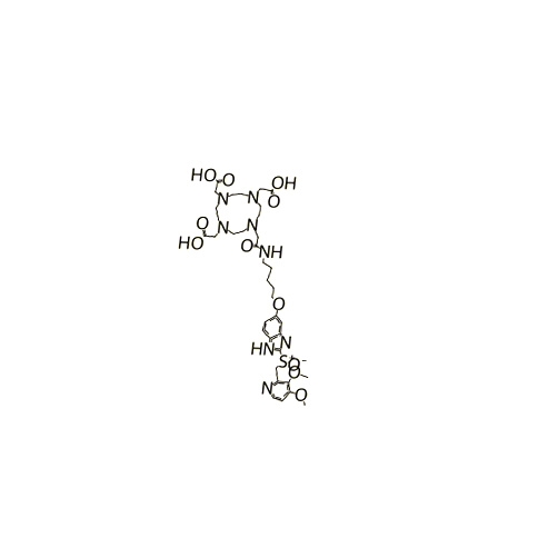 COc1ccnc(C[S+]([O-])c2nc3cc(OCCCCCNC(=O)CN4CCN(CC(=O)O)CCN(CC(=O)O)CCN(CC(=O)O)CC4)ccc3[nH]2)c1OC